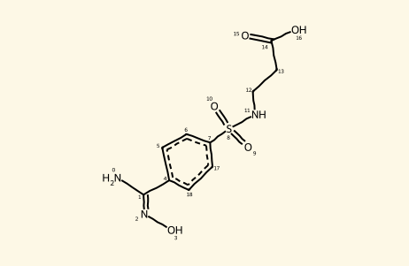 N/C(=N/O)c1ccc(S(=O)(=O)NCCC(=O)O)cc1